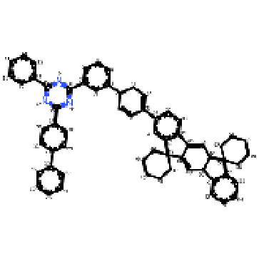 C1=CC(c2cccc(-c3nc(-c4ccccc4)nc(-c4ccc(-c5ccccc5)cc4)n3)c2)CC=C1c1ccc2c(c1)C1(CCCCC1)C1=CC3c4ccccc4C4(CCCCC4)C3C=C12